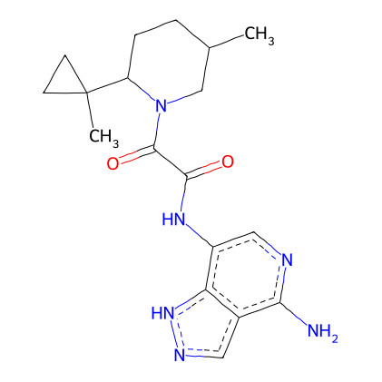 CC1CCC(C2(C)CC2)N(C(=O)C(=O)Nc2cnc(N)c3cn[nH]c23)C1